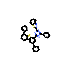 c1ccc(-c2cc(-c3nc(-c4ccccc4)nc(-c4nc5ccccc5s4)n3)c3sc4c(-c5ccccc5)cccc4c3c2)cc1